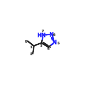 CC(C)c1[c]nn[nH]1